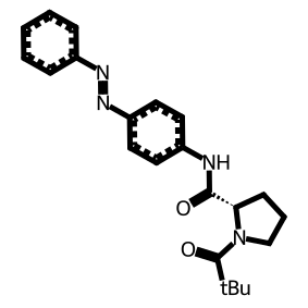 CC(C)(C)C(=O)N1CCC[C@H]1C(=O)Nc1ccc(/N=N/c2ccccc2)cc1